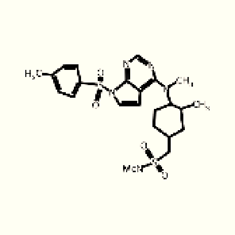 CNS(=O)(=O)CC1CCC(N(C)c2ncnc3c2ccn3S(=O)(=O)c2ccc(C)cc2)C(C)C1